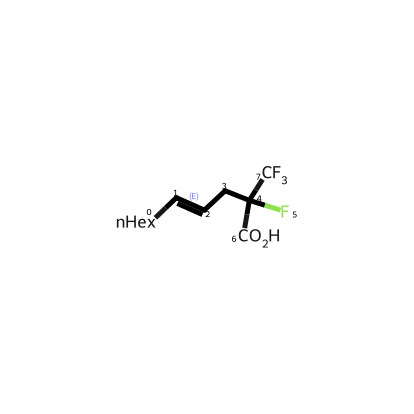 CCCCCC/C=C/CC(F)(C(=O)O)C(F)(F)F